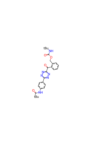 CC(C)(C)NC(=O)OCc1ccccc1C(=O)c1nnc(-c2ccc(NC(=O)C(C)(C)C)cc2)nn1